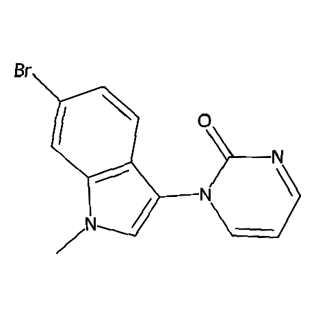 Cn1cc(-n2cccnc2=O)c2ccc(Br)cc21